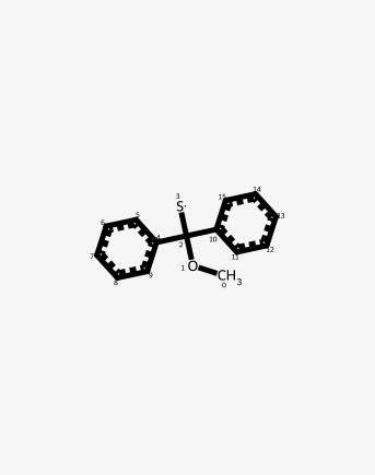 COC([S])(c1ccccc1)c1ccccc1